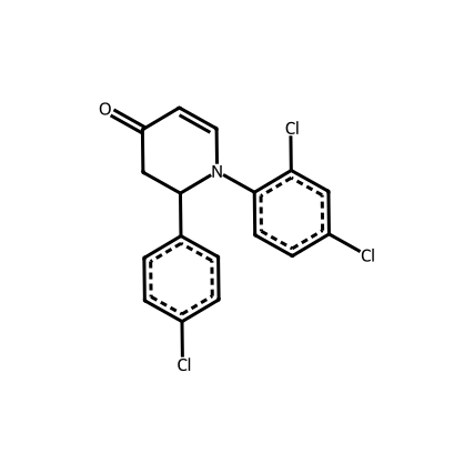 O=C1C=CN(c2ccc(Cl)cc2Cl)C(c2ccc(Cl)cc2)C1